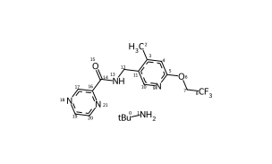 CC(C)(C)N.Cc1cc(OCC(F)(F)F)ncc1CNC(=O)c1cnccn1